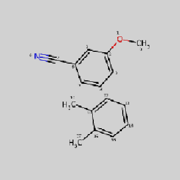 COc1cccc(C#N)c1.Cc1ccccc1C